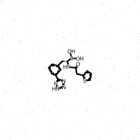 O=C(Cc1cccs1)N[C@@H](Cc1cccc(-c2nn[nH]n2)c1)B(O)O